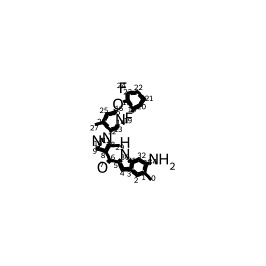 Cc1cc2cc(C(=O)c3cnn(-c4cnc(Oc5c(F)cccc5F)cc4C)c3C)[nH]c2cc1N